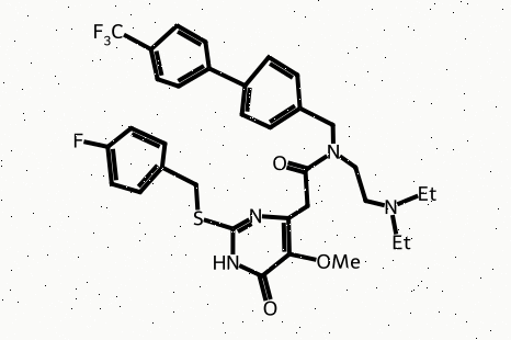 CCN(CC)CCN(Cc1ccc(-c2ccc(C(F)(F)F)cc2)cc1)C(=O)Cc1nc(SCc2ccc(F)cc2)[nH]c(=O)c1OC